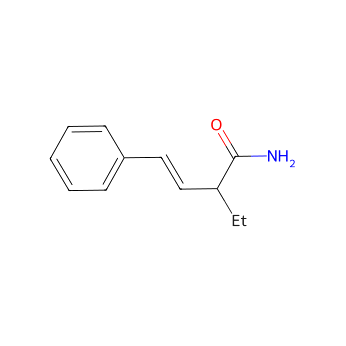 CCC(C=Cc1ccccc1)C(N)=O